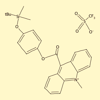 C[n+]1c2ccccc2c(C(=O)Oc2ccc(O[Si](C)(C)C(C)(C)C)cc2)c2ccccc21.O=S(=O)([O-])C(F)(F)F